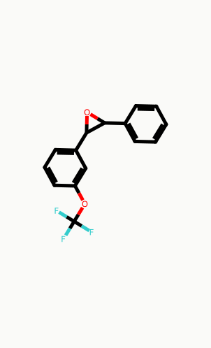 FC(F)(F)Oc1cccc(C2OC2c2ccccc2)c1